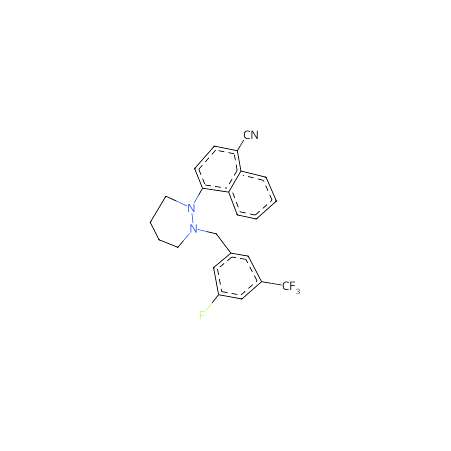 N#Cc1ccc(N2CCCCN2Cc2cc(F)cc(C(F)(F)F)c2)c2ccccc12